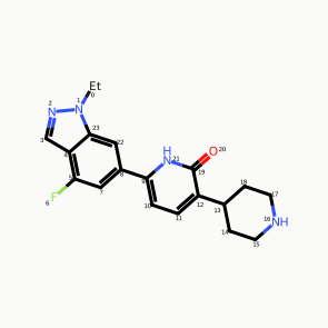 CCn1ncc2c(F)cc(-c3ccc(C4CCNCC4)c(=O)[nH]3)cc21